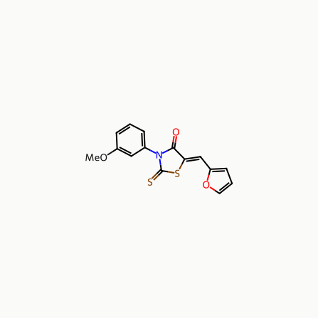 COc1cccc(N2C(=O)C(=Cc3ccco3)SC2=S)c1